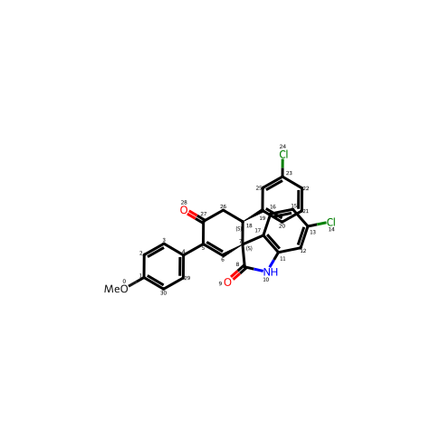 COc1ccc(C2=C[C@@]3(C(=O)Nc4cc(Cl)ccc43)[C@H](c3cccc(Cl)c3)CC2=O)cc1